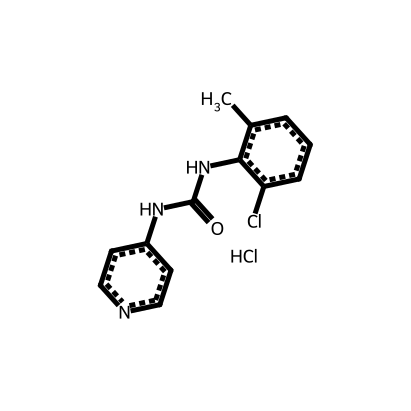 Cc1cccc(Cl)c1NC(=O)Nc1ccncc1.Cl